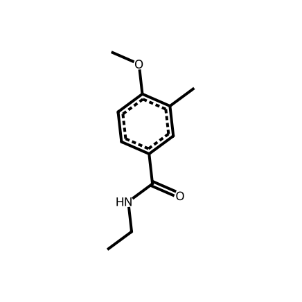 CCNC(=O)c1ccc(OC)c(C)c1